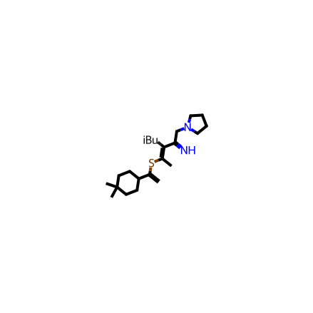 C=C(S/C(C)=C(/C(=N)CN1CCCC1)C(C)CC)C1CCC(C)(C)CC1